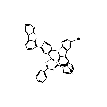 N#Cc1ccc2c(c1)c1cc(C#N)ccc1n2-c1ccc(-c2cccc3c2oc2ccccc23)cc1-c1nc(-c2ccccc2)nc(-c2ccccc2)n1